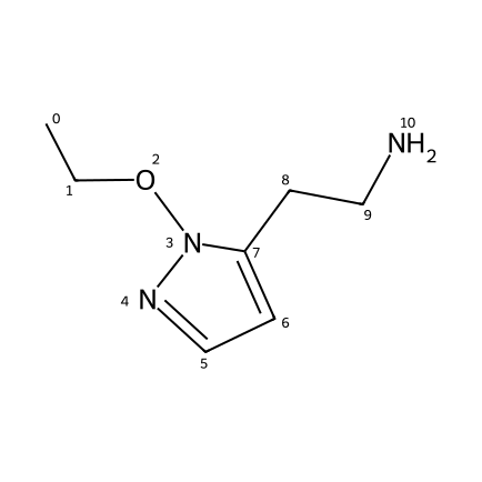 CCOn1nccc1CCN